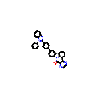 O=c1c2nccnc2c2cccc3c4cc(-c5ccc(-c6nc7ccccc7n6-c6ccccc6)cc5)ccc4n1c32